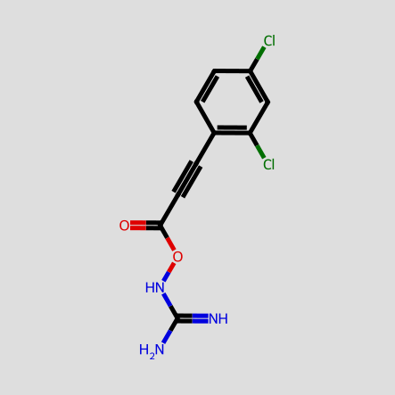 N=C(N)NOC(=O)C#Cc1ccc(Cl)cc1Cl